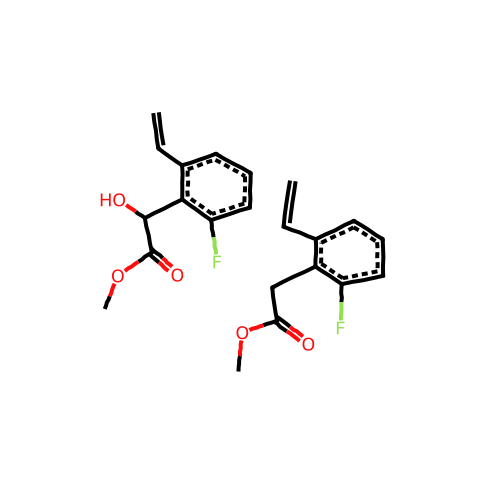 C=Cc1cccc(F)c1C(O)C(=O)OC.C=Cc1cccc(F)c1CC(=O)OC